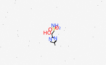 Cc1cnc([C@H](O)CS(N)(=O)=O)nc1